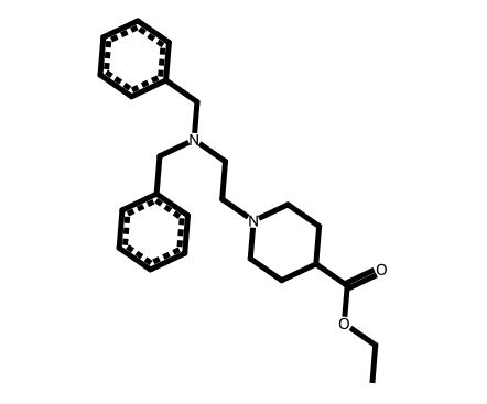 CCOC(=O)C1CCN(CCN(Cc2ccccc2)Cc2ccccc2)CC1